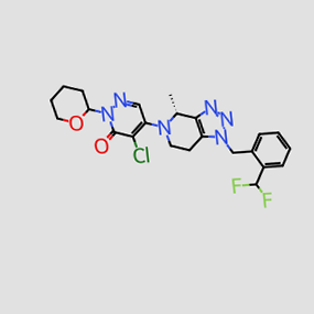 C[C@@H]1c2nnn(Cc3ccccc3C(F)F)c2CCN1c1cnn(C2CCCCO2)c(=O)c1Cl